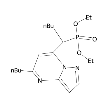 CCCCc1cc(C(CCCC)P(=O)(OCC)OCC)n2nccc2n1